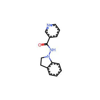 O=C(NN1CCc2ccccc21)c1cccnc1